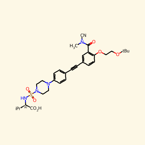 CC(C)[C@@H](NS(=O)(=O)N1CCN(c2ccc(C#Cc3ccc(OCCOC(C)(C)C)c(C(=O)N(C)C#N)c3)cc2)CC1)C(=O)O